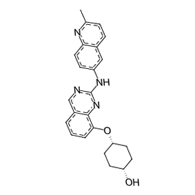 Cc1ccc2cc(Nc3ncc4cccc(O[C@H]5CC[C@@H](O)CC5)c4n3)ccc2n1